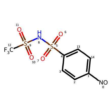 O=Nc1ccc(S(=O)(=O)NS(=O)(=O)C(F)(F)F)cc1